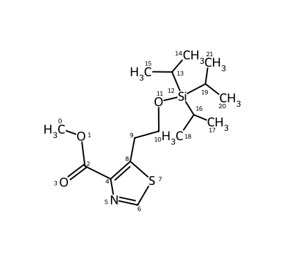 COC(=O)c1ncsc1CCO[Si](C(C)C)(C(C)C)C(C)C